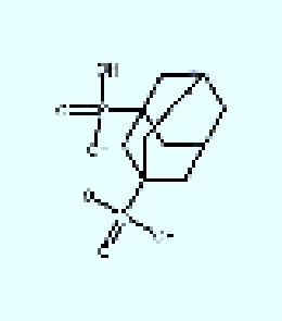 O=P(O)(O)C12CC3CC(C1)CC(P(=O)(O)O)(C3)C2